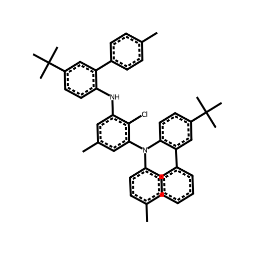 Cc1ccc(-c2cc(C(C)(C)C)ccc2Nc2cc(C)cc(N(c3ccc(C)cc3)c3ccc(C(C)(C)C)cc3-c3ccccc3)c2Cl)cc1